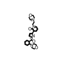 O=C(c1ccccc1N1CCOCC1)n1ccc(-c2cccn(CCN3CCOCC3)c2=O)n1